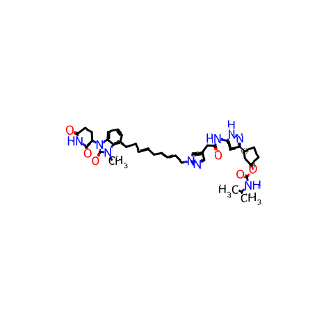 CC(C)NC(=O)O[C@@H]1CC[C@H](c2cc(NC(=O)Cc3cnn(CCCCCCCCCc4cccc5c4n(C)c(=O)n5C4CCC(=O)NC4=O)c3)[nH]n2)C1